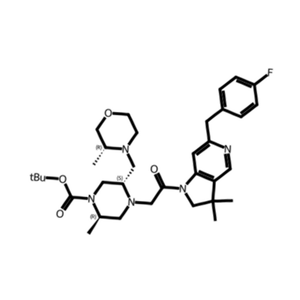 C[C@@H]1COCCN1C[C@H]1CN(C(=O)OC(C)(C)C)[C@H](C)CN1CC(=O)N1CC(C)(C)c2cnc(Cc3ccc(F)cc3)cc21